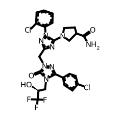 NC(=O)C1CCN(c2nc(Cn3nc(-c4ccc(Cl)cc4)n(C[C@H](O)C(F)(F)F)c3=O)nn2-c2ccccc2Cl)C1